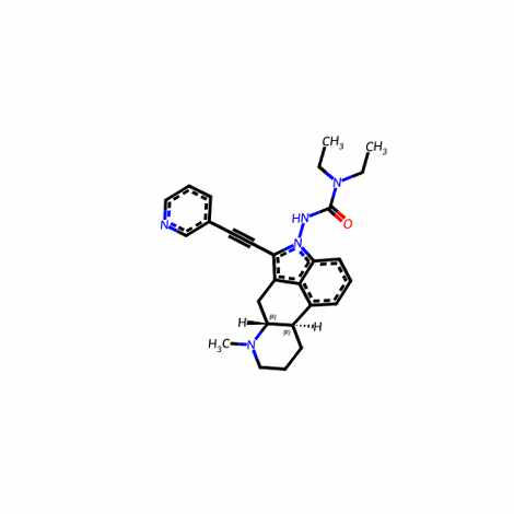 CCN(CC)C(=O)Nn1c(C#Cc2cccnc2)c2c3c(cccc31)[C@H]1CCCN(C)[C@@H]1C2